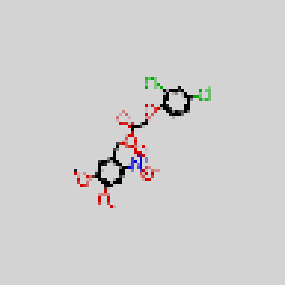 COc1cc(COC(=O)COc2ccc(Cl)cc2Cl)c([N+](=O)[O-])cc1OC